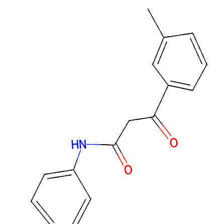 Cc1cccc(C(=O)CC(=O)Nc2ccccc2)c1